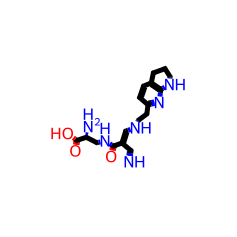 N=C/C(=C\NCCc1ccc2c(n1)NCCC2)C(=O)NC[C@H](N)C(=O)O